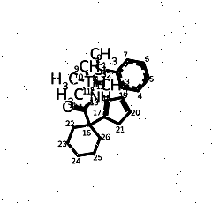 C[SiH](c1ccccc1)[Ti]([CH3])([CH3])([CH3])([CH3])[NH]C(=O)C1(C2=CC=CC2)CCCCC1